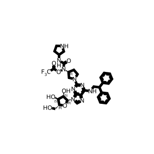 O=C(NC1CCNC1)N(OC(=O)C(F)(F)F)[C@@H]1CCN(c2nc(NCC(c3ccccc3)c3ccccc3)c3ncn([C@@H]4O[C@H](CO)[C@@H](O)[C@@H]4O)c3n2)C1